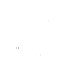 C[SiH](C)OCC1CO1